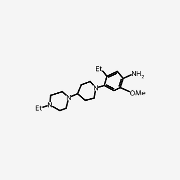 CCc1cc(N)c(OC)cc1N1CCC(N2CCN(CC)CC2)CC1